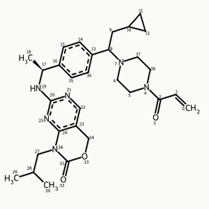 C=CC(=O)N1CCN(C(CC2CC2)c2ccc([C@H](C)Nc3ncc4c(n3)N(CC(C)C)C(=O)OC4)cc2)CC1